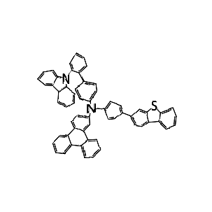 C1=CC2c3ccccc3N(c3ccccc3-c3ccc(N(c4ccc(-c5ccc6c(c5)sc5ccccc56)cc4)c4ccc5c6ccccc6c6ccccc6c5c4)cc3)C2C=C1